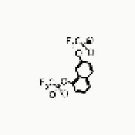 O=S(=O)(Oc1ccc2cccc(OS(=O)(=O)C(F)(F)F)c2c1)C(F)(F)F